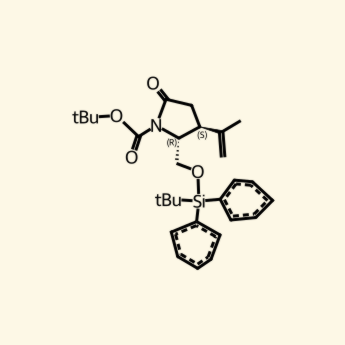 C=C(C)[C@@H]1CC(=O)N(C(=O)OC(C)(C)C)[C@H]1CO[Si](c1ccccc1)(c1ccccc1)C(C)(C)C